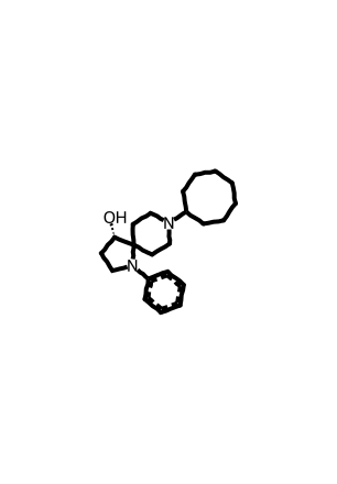 O[C@H]1CCN(c2ccccc2)C12CCN(C1CCCCCCC1)CC2